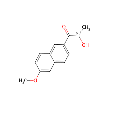 COc1ccc2cc(C(=O)[C@H](C)O)ccc2c1